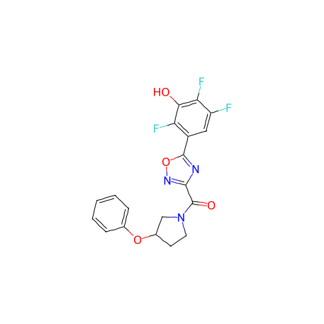 O=C(c1noc(-c2cc(F)c(F)c(O)c2F)n1)N1CCC(Oc2ccccc2)C1